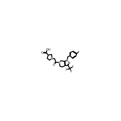 O=C(O)C1CCN(CC(=O)N2CCc3c(C(F)(F)F)nn(Cc4ccc(F)cc4)c3C2)C1